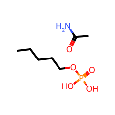 CC(N)=O.CCCCCOP(=O)(O)O